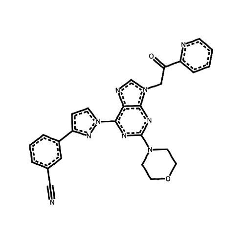 N#Cc1cccc(-c2ccn(-c3nc(N4CCOCC4)nc4c3ncn4CC(=O)c3ccccn3)n2)c1